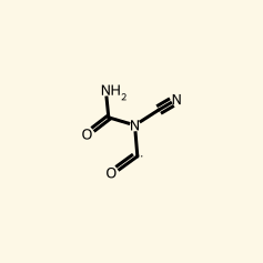 N#CN([C]=O)C(N)=O